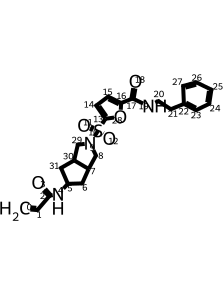 C=CC(=O)NC1CC2CN(S(=O)(=O)c3ccc(C(=O)NCCc4ccccc4)o3)CC2C1